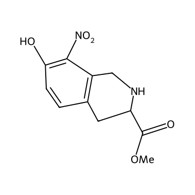 COC(=O)C1Cc2ccc(O)c([N+](=O)[O-])c2CN1